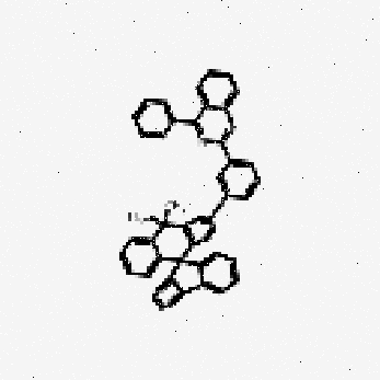 CC1(C)c2ccccc2C2(c3ccccc3-c3ccccc32)c2ccc(-c3cccc(-c4nc(-c5ccccc5)c5ccccc5n4)c3)cc21